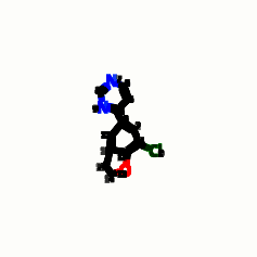 Clc1cc(-c2ccncn2)cc2c1OCC2